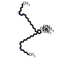 CCCCC/C=C\C/C=C\CCCCCCCCCC1(CCCCCCCCC/C=C\C/C=C\CCCCC)CCC(O[Si](C)(C)C(C)(C)C)C1